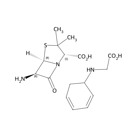 CC1(C)S[C@@H]2[C@H](N)C(=O)N2[C@H]1C(=O)O.O=C(O)CNC1C=CC=CC1